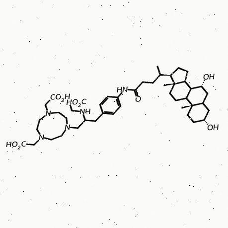 CC(CCC(=O)Nc1ccc(CC(CN2CCN(CC(=O)O)CCN(CC(=O)O)CC2)NCC(=O)O)cc1)[C@H]1CCC2C3C(CC[C@@]21C)[C@@]1(C)CC[C@@H](O)CC1C[C@H]3O